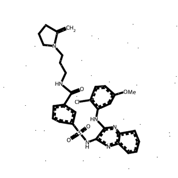 C=C1CCCN1CCCNC(=O)c1cccc(S(=O)(=O)Nc2nc3ccccc3nc2Nc2cc(OC)ccc2Cl)c1